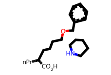 C1CCNCC1.CCCC(CCCCOCc1ccccc1)C(=O)O